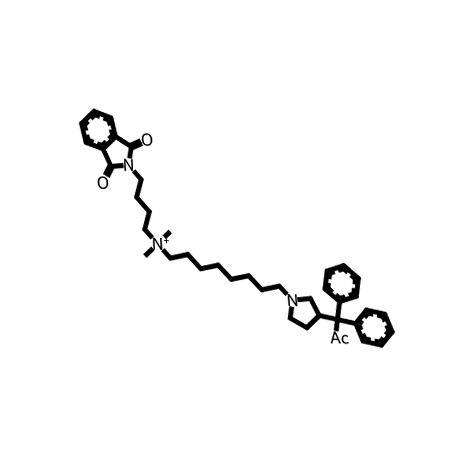 CC(=O)C(c1ccccc1)(c1ccccc1)C1CCN(CCCCCCCC[N+](C)(C)CCCCN2C(=O)c3ccccc3C2=O)C1